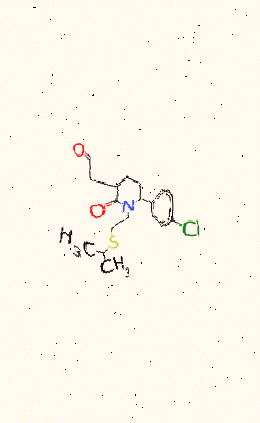 CC(C)SCCN1C(=O)C(CC=O)CCC1c1ccc(Cl)cc1